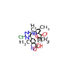 Cc1cc(C(C)Nc2cnc(Cl)nc2-c2ccc3c(c2C)C=NOB3O)c2oc(C(C)C)c(C)c(=O)c2c1